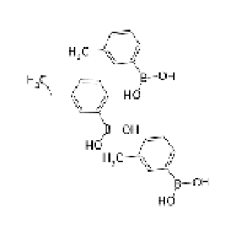 CCc1cccc(B(O)O)c1.Cc1cccc(B(O)O)c1.Cc1cccc(B(O)O)c1